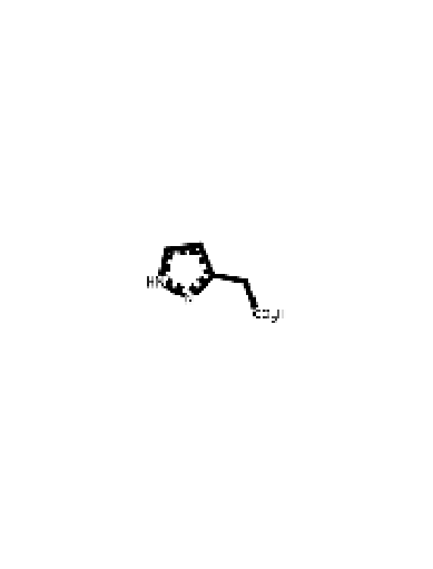 O=C(O)Cc1cc[nH]n1